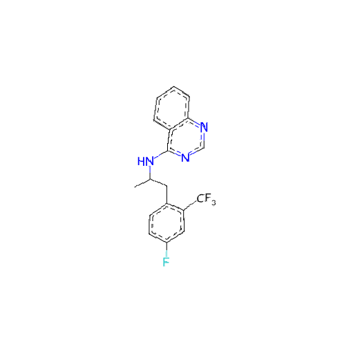 CC(Cc1ccc(F)cc1C(F)(F)F)Nc1ncnc2ccccc12